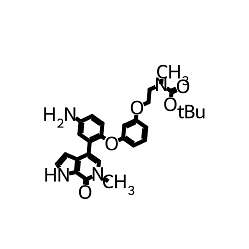 CN(CCOc1cccc(Oc2ccc(N)cc2-c2cn(C)c(=O)c3[nH]ccc23)c1)C(=O)OC(C)(C)C